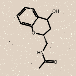 CC(=O)NC[C@@H]1CC(O)c2ccccc2O1